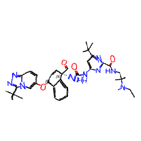 CCN(C)C(C)(C)CNC(=O)c1nc(NC(=O)N[C@@]2(C=O)C=C[C@@H](Oc3ccc4nnc(C(C)(C)C)n4c3)c3ccccc32)cc(C(C)(C)C)n1